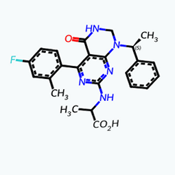 Cc1cc(F)ccc1-c1nc(NC(C)C(=O)O)nc2c1C(=O)NCN2[C@@H](C)c1ccccc1